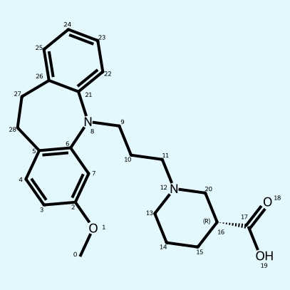 COc1ccc2c(c1)N(CCCN1CCC[C@@H](C(=O)O)C1)c1ccccc1CC2